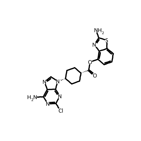 Nc1nc2c(OC(=O)[C@H]3CC[C@@H](n4cnc5c(N)nc(Cl)nc54)CC3)cccc2s1